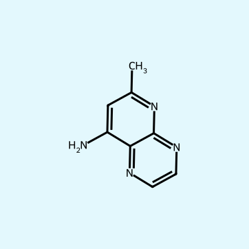 Cc1cc(N)c2nccnc2n1